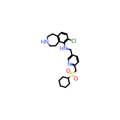 O=S(=O)(Cc1ccc(CNc2c(Cl)ccc3c2CCNCC3)cn1)C1CCCCC1